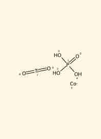 O=P(O)(O)O.[Co].[O]=[Ti]=[O]